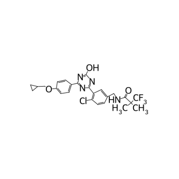 CC(C)(C(=O)NCc1ccc(Cl)c(-c2nc(O)nc(-c3ccc(OCC4CC4)cc3)n2)c1)C(F)(F)F